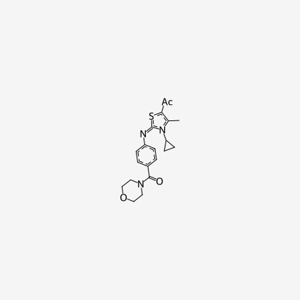 CC(=O)c1s/c(=N/c2ccc(C(=O)N3CCOCC3)cc2)n(C2CC2)c1C